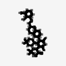 Cc1nc(C)c(C(OC(C)(C)C)C(=O)O)c(N2CCC(C)(C)CC2)c1-c1ccc2c(c1)CCC(COc1cccc(F)c1F)O2